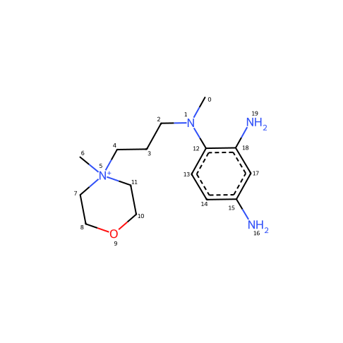 CN(CCC[N+]1(C)CCOCC1)c1ccc(N)cc1N